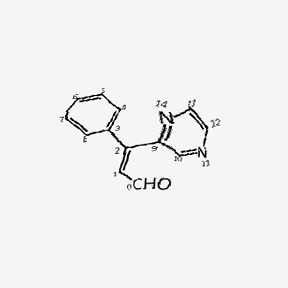 O=CC=C(c1ccccc1)c1cnccn1